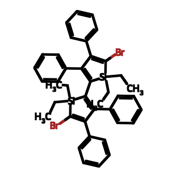 CC[Si]1(CC)C(Br)=C(c2ccccc2)C(c2ccccc2)=C1C1=C(c2ccccc2)C(c2ccccc2)=C(Br)[Si]1(CC)CC